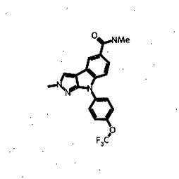 CNC(=O)c1ccc2c(c1)c1cn(C)nc1n2-c1ccc(OC(F)(F)F)cc1